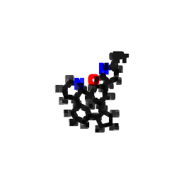 CC(C)c1ccc2c(n1)oc1c(-c3ncccc3-c3cccc(C4CCCC4)c3)cccc12